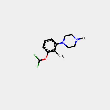 CCN1CCN(c2cccc(OC(F)F)c2C)CC1